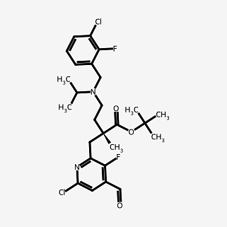 CC(C)N(CC[C@@](C)(Cc1nc(Cl)cc(C=O)c1F)C(=O)OC(C)(C)C)Cc1cccc(Cl)c1F